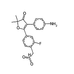 CC1(C)OC(c2ccc(C[SH](=O)=O)c(F)c2)=C(c2ccc(N)cc2)C1=O